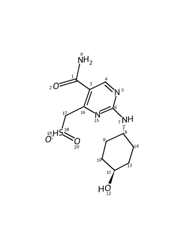 NC(=O)c1cnc(N[C@H]2CC[C@H](O)CC2)nc1C[SH](=O)=O